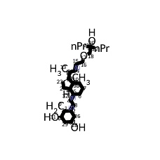 C=C1/C(=C\C=C2/CCC[C@]3(C)[C@@H]([C@H](C)/C=C/COCC(O)(CCC)CCC)CC[C@@H]23)C[C@@H](O)C[C@@H]1O